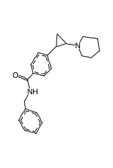 O=C(NCc1ccccc1)c1ccc(C2CC2N2CCCCC2)cc1